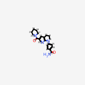 NC(=O)c1ccc(N2CCCc3cc(C(=O)N4CCCCC4)cnc32)cc1